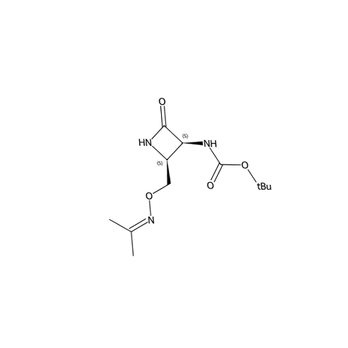 CC(C)=NOC[C@H]1NC(=O)[C@H]1NC(=O)OC(C)(C)C